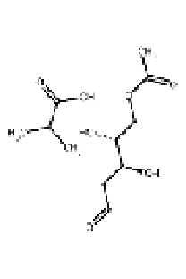 CC(=O)OC[C@@H](O)[C@@H](O)CC=O.CC(C)C(=O)O